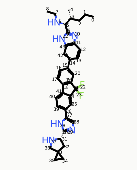 CCC[C@@H](C)[C@H](NCC)c1nc2ccc(-c3ccc4c(c3)C(F)(F)c3cc(-c5cnc([C@@H]6CC7(CC7)CN6)[nH]5)ccc3-4)cc2[nH]1